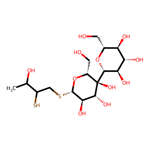 CC(O)C(S)CS[C@@H]1O[C@H](CO)[C@](O)([C@@H]2O[C@H](CO)[C@@H](O)[C@H](O)[C@H]2O)[C@H](O)[C@H]1O